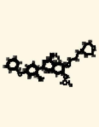 COc1cc2nc(-c3ccc(Oc4ccccc4)cc3Br)nc(N)c2cc1OCCCN1CCOCC1